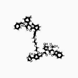 Cc1ncsc1-c1ccc(CNC(=O)[C@@H]2C[C@@H](O)CN2C(=O)[C@H](C(C)C)N2Cc3ccccc3C2=O)c(OCCOCCOCC#Cc2cccc3c2C(=O)N(C(C(=O)O)c2cc(F)ccc2OCc2ccccc2)C3)c1